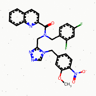 COc1cc(Cn2cnnc2CN(Cc2ccc(F)cc2F)C(=O)c2ccc3ccccc3n2)ccc1[N+](=O)[O-]